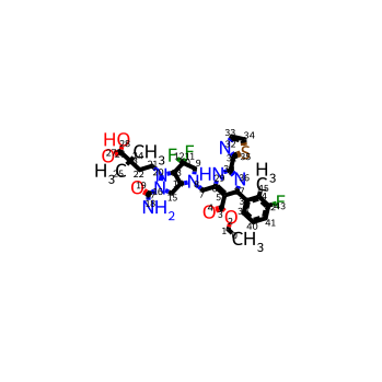 CCOC(=O)C1=C(CN2CC(F)(F)C3C2CN(C(N)=O)N3CCC(C)(C)C(=O)O)NC(c2nccs2)=NC1c1cccc(F)c1C